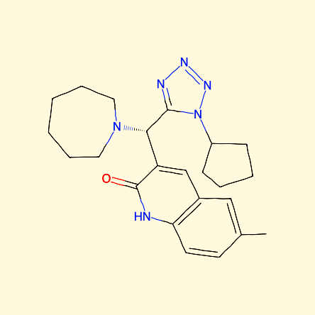 Cc1ccc2[nH]c(=O)c([C@@H](c3nnnn3C3CCCC3)N3CCCCCC3)cc2c1